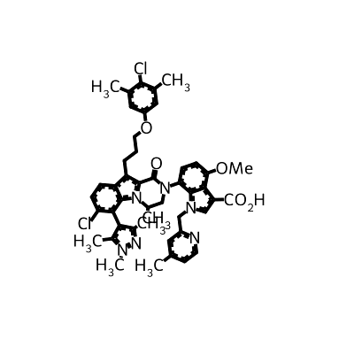 COc1ccc(N2CC(C)n3c(c(CCCOc4cc(C)c(Cl)c(C)c4)c4ccc(Cl)c(-c5c(C)nn(C)c5C)c43)C2=O)c2c1c(C(=O)O)cn2Cc1cc(C)ccn1